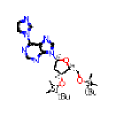 CC(C)(C)[Si](C)(C)OC[C@H]1O[C@H](n2cnc3c(-n4ccnc4)ncnc32)C[C@@H]1O[Si](C)(C)C(C)(C)C